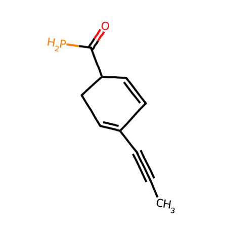 CC#CC1=CCC(C(=O)P)C=C1